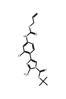 C=CCOC(=O)Nc1ccc(-c2cn(C(=O)OC(C)(C)C)c(N)n2)c(Cl)c1